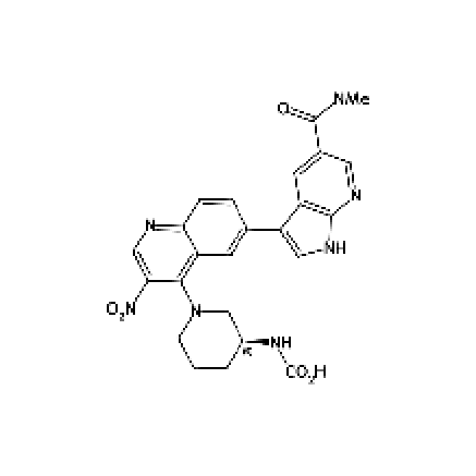 CNC(=O)c1cnc2[nH]cc(-c3ccc4ncc([N+](=O)[O-])c(N5CCC[C@H](NC(=O)O)C5)c4c3)c2c1